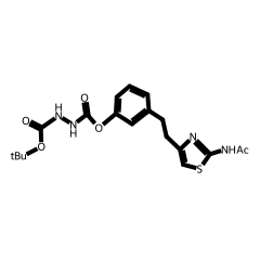 CC(=O)Nc1nc(CCc2cccc(OC(=O)NNC(=O)OC(C)(C)C)c2)cs1